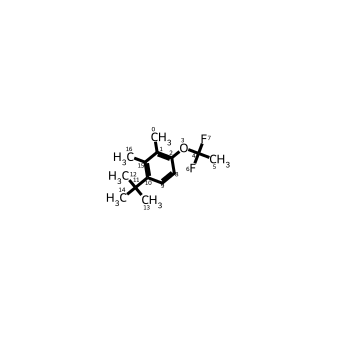 Cc1c(OC(C)(F)F)ccc(C(C)(C)C)c1C